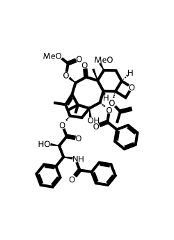 C=C(C)O[C@@]12CO[C@@H]1C[C@H](OC)[C@@]1(C)C(=O)[C@H](OC(=O)OC)C3=C(C)[C@@H](OC(=O)[C@H](O)[C@@H](NC(=O)c4ccccc4)c4ccccc4)C[C@@](O)([C@@H](OC(=O)c4ccccc4)[C@H]21)C3(C)C